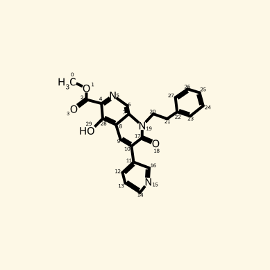 COC(=O)c1ncc2c(cc(-c3cccnc3)c(=O)n2CCc2ccccc2)c1O